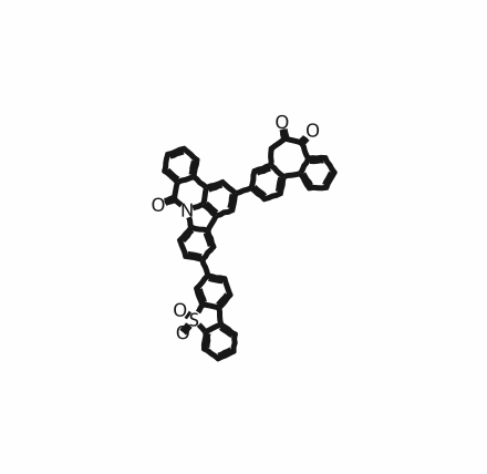 O=C1Cc2cc(-c3cc4c5ccccc5c(=O)n5c6ccc(-c7ccc8c(c7)S(=O)(=O)c7ccccc7-8)cc6c(c3)c45)ccc2-c2ccccc2C1=O